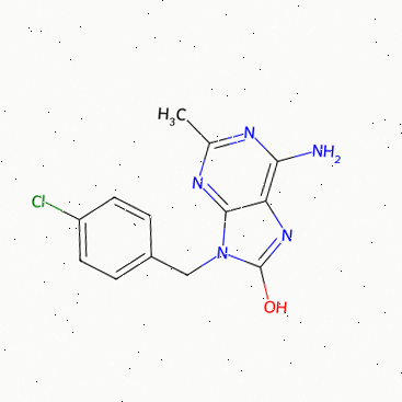 Cc1nc(N)c2nc(O)n(Cc3ccc(Cl)cc3)c2n1